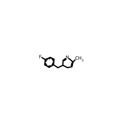 CC1=CCC(Cc2ccc(F)cc2)C=N1